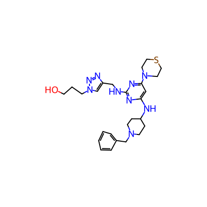 OCCCn1cc(CNc2nc(NC3CCN(Cc4ccccc4)CC3)cc(N3CCSCC3)n2)nn1